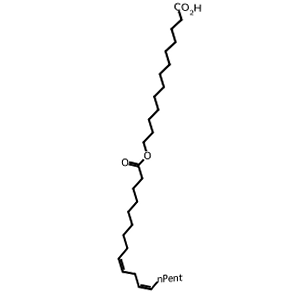 CCCCC/C=C\C/C=C\CCCCCCCC(=O)OCCCCCCCCCCCCC(=O)O